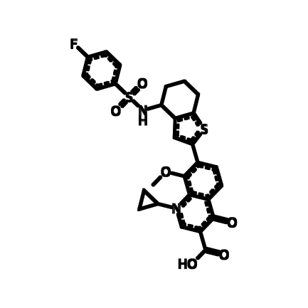 COc1c(-c2cc3c(s2)CCCC3NS(=O)(=O)c2ccc(F)cc2)ccc2c(=O)c(C(=O)O)cn(C3CC3)c12